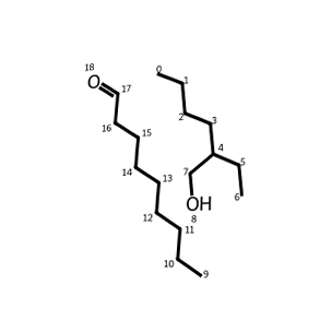 CCCCC(CC)CO.CCCCCCCCC=O